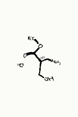 CCOC(=O)[C@@H](N)CO.[O]